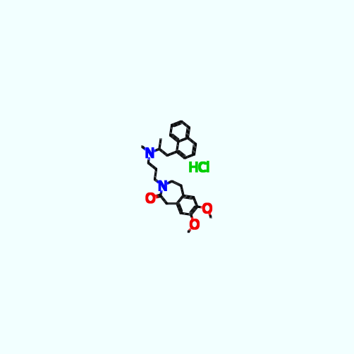 COc1cc2c(cc1OC)CC(=O)N(CCCN(C)C(C)Cc1cccc3ccccc13)CC2.Cl